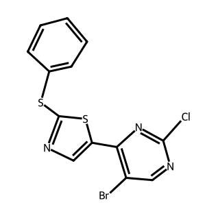 Clc1ncc(Br)c(-c2cnc(Sc3ccccc3)s2)n1